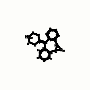 c1ccc2c(c1)C(=C1CCNCC1)c1ccccc1C1OC21